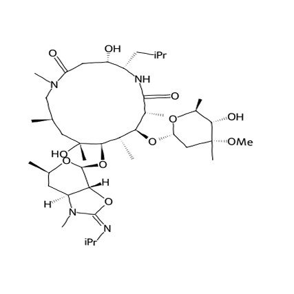 CO[C@]1(C)C[C@H](O[C@H]2[C@H](C)[C@@H](O[C@@H]3O[C@H](C)C[C@H]4[C@H]3O/C(=N/C(C)C)N4C)[C@](C)(O)C[C@@H](C)CN(C)C(=O)C[C@H](O)[C@H](CC(C)C)NC(=O)[C@@H]2C)O[C@@H](C)[C@@H]1O